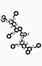 Fc1c(-c2cc(OCc3ccccc3)cc3ccccc23)ncc2c(OCc3ccccc3)nc(OC[C@@]34CCC(c5cccc6c(-c7ncc8c(OCc9ccccc9)nc(OCC9%10CCCN9CCC%10)nc8c7F)cc(OCc7ccccc7)cc56)N3C[C@H](F)C4)nc12